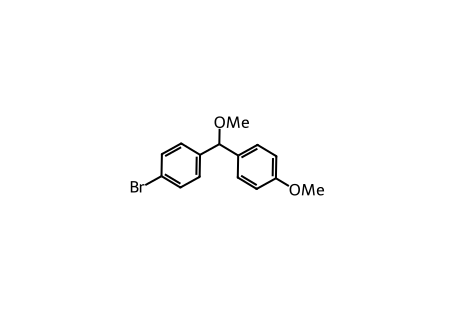 COc1ccc(C(OC)c2ccc(Br)cc2)cc1